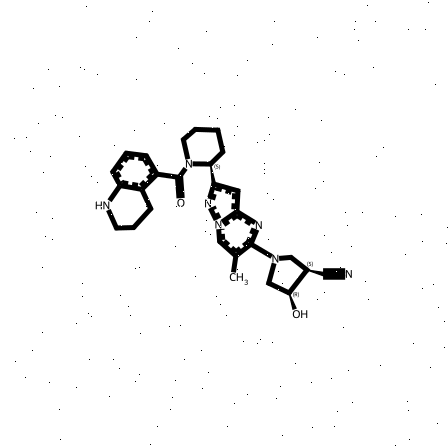 Cc1cn2nc([C@@H]3CCCCN3C(=O)c3cccc4c3CCCN4)cc2nc1N1C[C@@H](C#N)[C@@H](O)C1